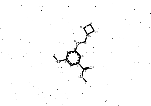 COC(=O)c1cc(OC)cc(OCC2CCC2)c1